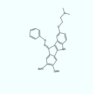 COc1cc2c(cc1OC)-c1[nH]c3ccc(OCCN(C)C)cc3c1/C2=N\Oc1ccccc1